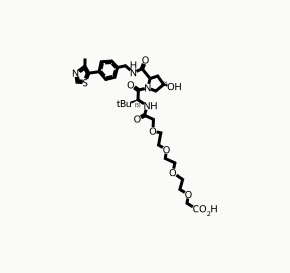 Cc1ncsc1-c1ccc(CNC(=O)C2C[C@@H](O)CN2C(=O)[C@@H](NC(=O)COCCOCCOCCOCC(=O)O)C(C)(C)C)cc1